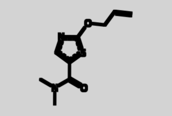 C=CCOc1ncc(C(=O)N(C)C)s1